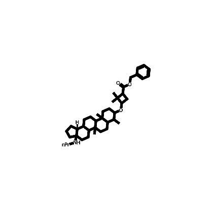 CCCNC12CCC[C@@H]1C1CCC3C4(C)CCC(OC5CC(C(=O)OCc6ccccc6)C5(C)C)C(C)C4CCC3(C)C1CC2